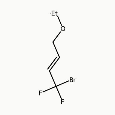 C[CH]OC/C=C/C(F)(F)Br